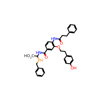 O=C(CCc1ccccc1)Nc1ccc(C(=O)NC(PCc2ccccc2)C(=O)O)cc1OCCc1ccc(O)cc1